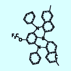 Cc1ccc2c3c(ccc2c1)B1c2ccc4cc(C)ccc4c2N(c2ccccc2)c2cc(OC(F)(F)F)cc(c21)N3c1ccccc1